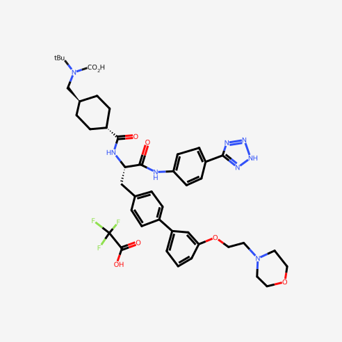 CC(C)(C)N(C[C@H]1CC[C@H](C(=O)N[C@@H](Cc2ccc(-c3cccc(OCCN4CCOCC4)c3)cc2)C(=O)Nc2ccc(-c3nn[nH]n3)cc2)CC1)C(=O)O.O=C(O)C(F)(F)F